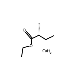 CCOC(=O)[C@H](C)CC.[CaH2]